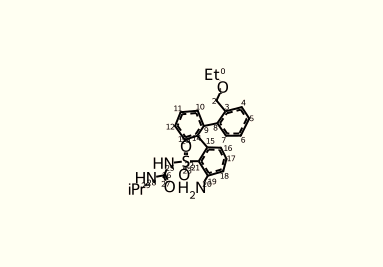 CCOCc1ccccc1-c1ccccc1-c1cccc(N)c1S(=O)(=O)NC(=O)NC(C)C